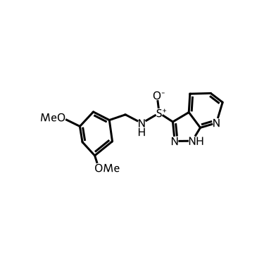 COc1cc(CN[S+]([O-])c2n[nH]c3ncccc23)cc(OC)c1